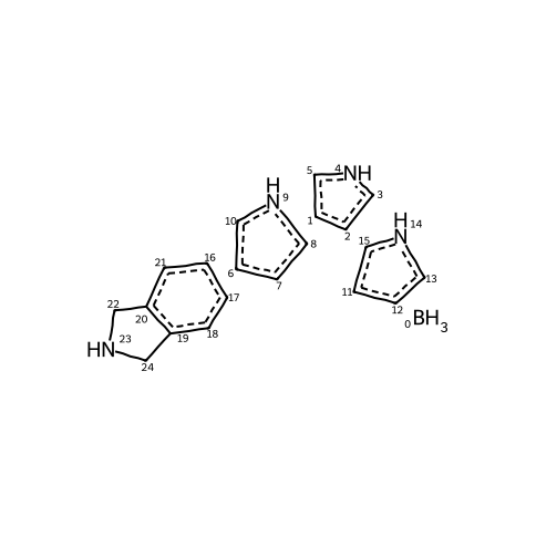 B.c1cc[nH]c1.c1cc[nH]c1.c1cc[nH]c1.c1ccc2c(c1)CNC2